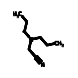 CC[CH]N(CC#N)CCC